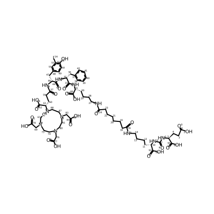 O=C(O)CC[C@H](NC(=O)N[C@@H](CCCCNC(=O)CCCCCCC(=O)NCCCC[C@@H](NC(=O)[C@@H](Cc1ccccc1)NC(=O)[C@@H](Cc1ccc(O)c(I)c1)NC(=O)CC[C@@H](C(=O)O)N1CCN(CC(=O)O)CCN(CC(=O)O)CCN(CC(=O)O)CC1)C(=O)O)C(=O)O)C(=O)O